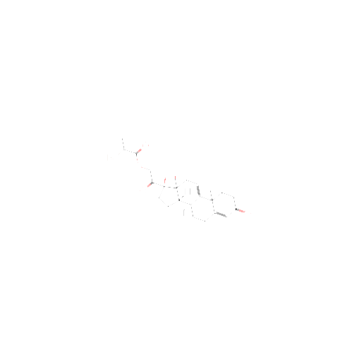 CC(Br)C(=O)OCC(=O)[C@@]1(O)CC[C@H]2[C@@H]3CCC4=CC(=O)CCC4(C)C3=CCC21C